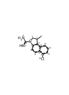 CC1CN(C(=N)N)c2ccc3c(Cl)cccc3c21